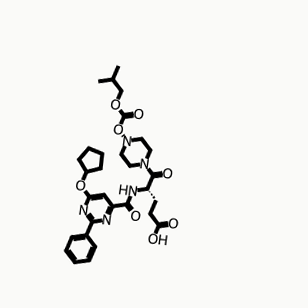 CC(C)COC(=O)ON1CCN(C(=O)[C@H](CCC(=O)O)NC(=O)c2cc(OC3CCCC3)nc(-c3ccccc3)n2)CC1